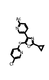 CC(=O)c1ccc(-c2nc(C3CC3)oc2Sc2ccc(Cl)cn2)cn1